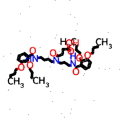 CCCCOc1cccc(C(=O)NCCCCN(CCCNC(=O)c2cccc(OCCCC)c2OCCCC)C(=O)CCC(=O)O)c1OCCCC